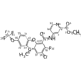 COC(=O)c1cc(NC(=O)c2c(Oc3ccc(OC(F)(F)F)cc3OC)ccc(Cl)c2F)ccn1